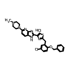 CN1CCN(c2ccc3[nH]c(-c4csc(Cc5cc(Cl)ccc5OCc5ccccc5)n4)nc3n2)CC1.Cl